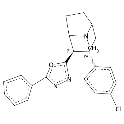 CN1C2CCC1[C@H](c1nnc(-c3ccccc3)o1)[C@@H](c1ccc(Cl)cc1)C2